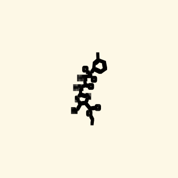 CCOC(=O)c1nc(NC(=O)NS(=O)(=O)c2cccc(C)c2)sc1Br